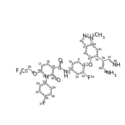 Cn1ncc2cc(Oc3ccc(NC(=O)c4ccc(OCC(F)(F)F)n(-c5ccc(F)cc5)c4=O)cc3F)c(/C(C=N)=C/N)cc21